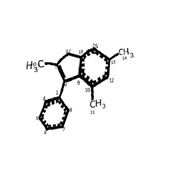 CC1=C(c2ccccc2)c2c(C)cc(C)cc2[CH]1